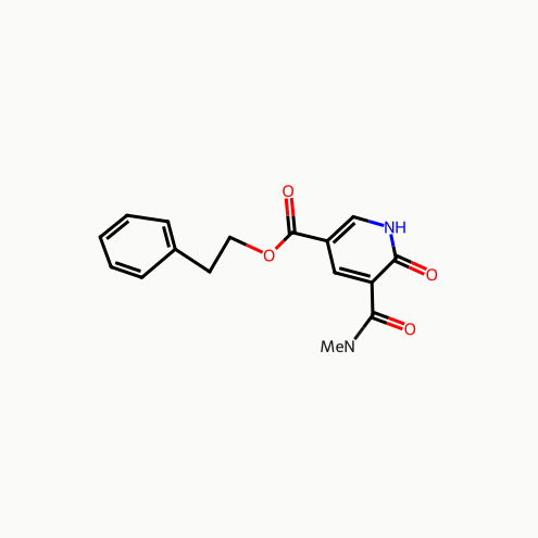 CNC(=O)c1cc(C(=O)OCCc2ccccc2)c[nH]c1=O